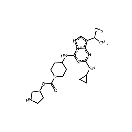 CC(C)c1cnn2c(NC3CCN(C(=O)O[C@H]4CCNC4)CC3)nc(NC3CC3)nc12